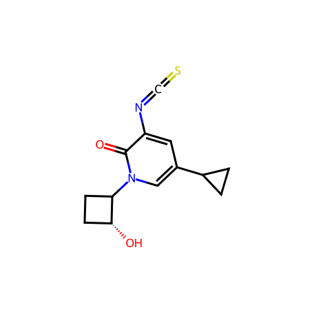 O=c1c(N=C=S)cc(C2CC2)cn1C1CC[C@H]1O